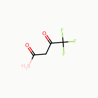 BC(=O)CC(=O)C(F)(F)F